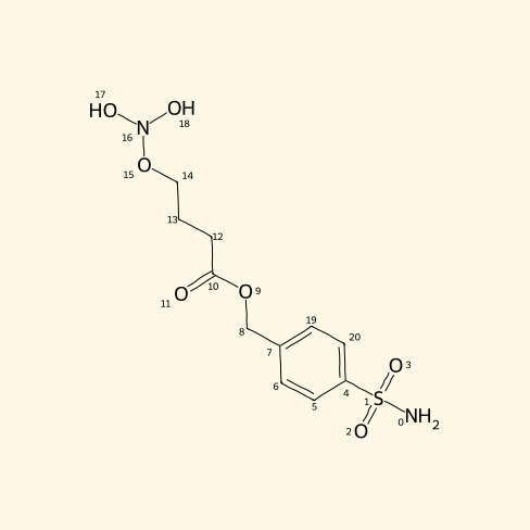 NS(=O)(=O)c1ccc(COC(=O)CCCON(O)O)cc1